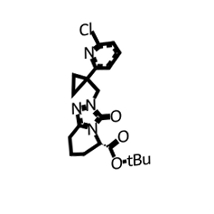 CC(C)(C)OC(=O)[C@@H]1CCCc2nn(CC3(c4cccc(Cl)n4)CC3)c(=O)n21